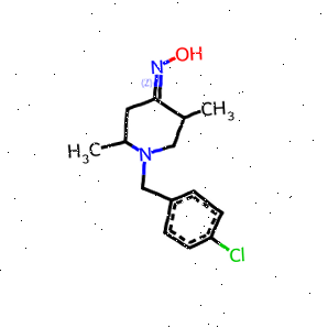 CC1CN(Cc2ccc(Cl)cc2)C(C)C/C1=N/O